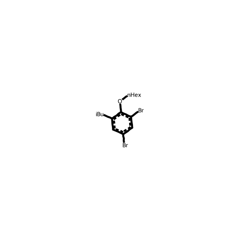 [CH2]CCCCCOc1c(Br)cc(Br)cc1C(C)CC